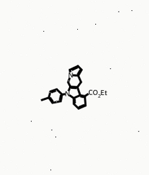 CCOC(=O)c1cccc2c1c1c(n2-c2ccc(C)cc2)Cn2cccc2C1